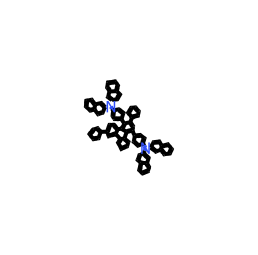 c1ccc(-c2ccc3c(c2)c2ccccc2c2c(-c4ccc(N(c5ccc6ccccc6c5)c5ccc6ccccc6c5)cc4)cc(-c4ccccc4)c(-c4ccc(N(c5ccc6ccccc6c5)c5ccc6ccccc6c5)cc4)c32)cc1